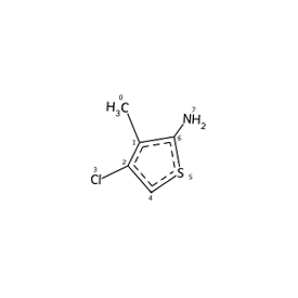 Cc1c(Cl)csc1N